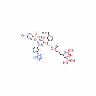 COc1ccccc1Oc1c(NS(=O)(=O)c2ccc(C(C)C)cn2)nc(-c2ccnc(-c3nnn[nH]3)c2)nc1OCCOC(=O)CCCC(CON(O)O)ON(O)O